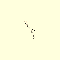 CCCCN1C(=O)CC(SCCCC(=O)NC)C1=O